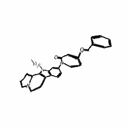 Cn1c2c(c3ccc(-n4ccc(OCc5ccccc5)cc4=O)cc31)CCN1CCCC21